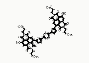 [C-]#[N+]c1cc2c3c(c(-c4ccc(-c5nnc(-c6ccc(-c7cc8c9c(c(C#N)cc%10c9c7C(=O)N(CCCCCCCCCCCC)C%10=O)C(=O)N(CCCCCCCCCCCC)C8=O)s6)nn5)s4)cc4c3c1C(=O)N(CCCCCCCCCCCC)C4=O)C(=O)N(CCCCCCCCCCCC)C2=O